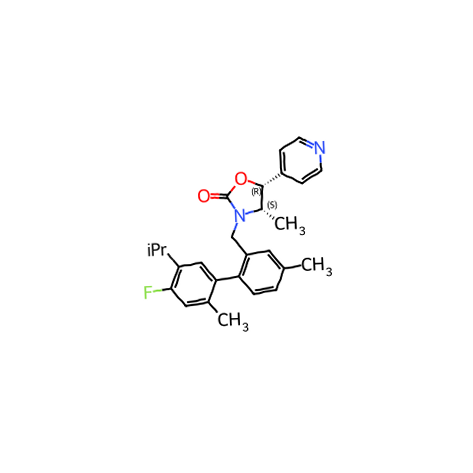 Cc1ccc(-c2cc(C(C)C)c(F)cc2C)c(CN2C(=O)O[C@H](c3ccncc3)[C@@H]2C)c1